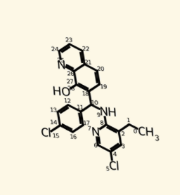 CCc1cc(Cl)cnc1NC(c1ccc(Cl)cc1)c1ccc2cccnc2c1O